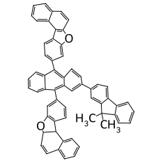 CC1(C)c2ccccc2-c2ccc(-c3ccc4c(-c5ccc6c(c5)oc5ccc7ccccc7c56)c5ccccc5c(-c5ccc6c(c5)OC5C=Cc7ccccc7C65)c4c3)cc21